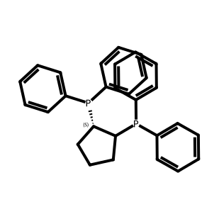 c1ccc(P(c2ccccc2)C2CCC[C@@H]2P(c2ccccc2)c2ccccc2)cc1